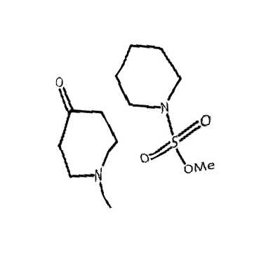 CN1CCC(=O)CC1.COS(=O)(=O)N1CCCCC1